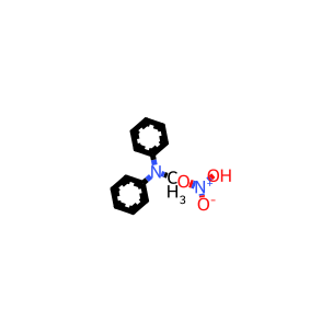 CN(c1ccccc1)c1ccccc1.O=[N+]([O-])O